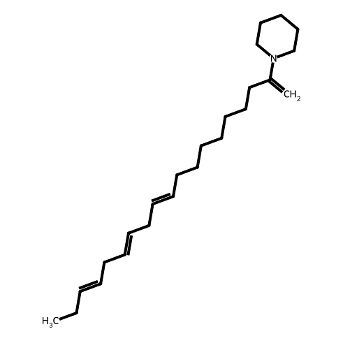 C=C(CCCCCCCC=CCC=CCC=CCC)N1CCCCC1